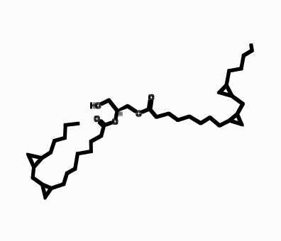 CCCCCC1CC1CC1CC1CCCCCCCC(=O)OC[C@H](CO)OC(=O)CCCCCCCC1CC1CC1CC1CCCCC